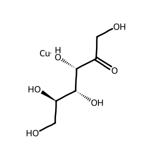 O=C(CO)[C@@H](O)[C@H](O)[C@H](O)CO.[Cu]